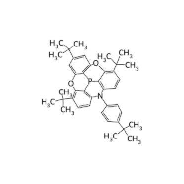 CC(C)(C)c1ccc(N2c3ccc(C(C)(C)C)c4c3P3c5c(cc(C(C)(C)C)cc5Oc5c(C(C)(C)C)ccc2c53)O4)cc1